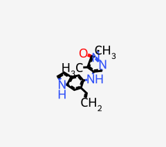 C=Cc1cc2[nH]ccc2cc1Nc1cnn(C)c(=O)c1C